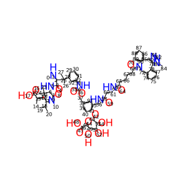 CN[C@H](C(=O)N[C@H](C(=O)N(C)[C@H](/C=C(\C)C(=O)O)C(C)C)C(C)(C)C)C(C)(C)c1cccc(NC(=O)OCc2ccc(O[C@@H]3O[C@H](C(=O)O)[C@@H](O)[C@H](O)[C@H]3O)c(CNC(=O)CCNC(=O)CCCCC(=O)N3Cc4ccccc4-c4c(nnn4C)-c4ccccc43)c2)c1